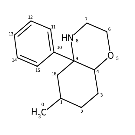 CC1CCC2OCCNC2(c2ccccc2)C1